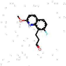 COc1ccc2ccc(F)c(CCC=O)c2n1